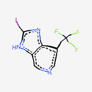 FC(F)(F)c1cncc2[nH]c(I)nc12